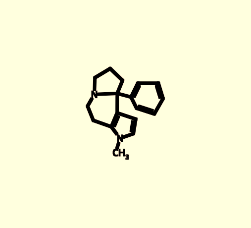 Cn1ccc2c1CCN1CCCC21c1ccccc1